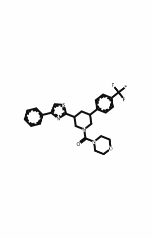 O=C(N1CCOCC1)N1CC(c2ccc(C(F)(F)F)cc2)CC(c2nc(-c3ccccc3)cs2)C1